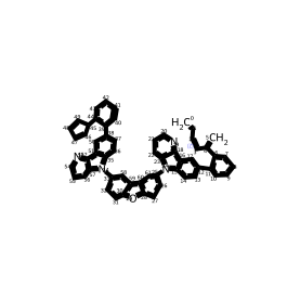 C=C/C=C\C(=C)c1ccccc1-c1ccc2c(c1)c1ncccc1n2-c1ccc2oc3ccc(-n4c5ccc(-c6c#cccc6C6C=CC=C6)cc5c5ncccc54)cc3c2c1